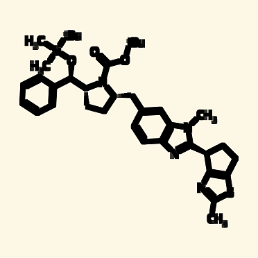 Cc1nc2c(s1)CC[C@@H]2c1nc2ccc(C[C@@H]3CC[C@H]([C@H](O[Si](C)(C)C(C)(C)C)c4ccccc4)N3C(=O)OC(C)(C)C)cc2n1C